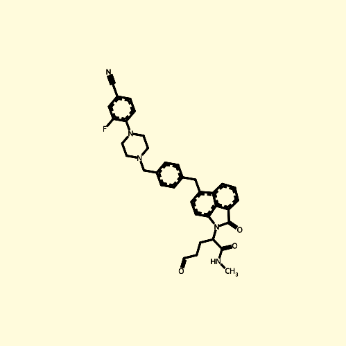 CNC(=O)C(CCC=O)N1C(=O)c2cccc3c(Cc4ccc(CN5CCN(c6ccc(C#N)cc6F)CC5)cc4)ccc1c23